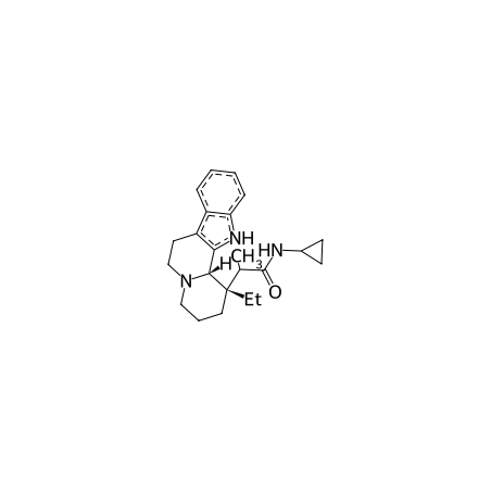 CC[C@@]1(C(C)C(=O)NC2CC2)CCCN2CCc3c([nH]c4ccccc34)[C@@H]21